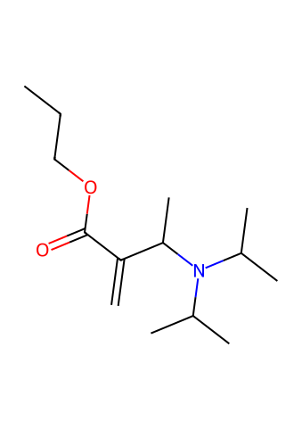 C=C(C(=O)OCCC)C(C)N(C(C)C)C(C)C